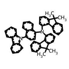 CC1(C)c2ccccc2-c2c(N(c3cccc4c3-c3ccccc3C4(C)C)c3ccc(-n4c5ccccc5c5ccccc54)c4ccccc34)cccc21